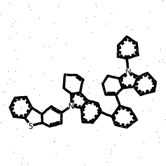 C1=Cc2c(n(C3=CC4c5ccccc5SC4C=C3)c3ccc(-c4ccccc4C4=CCCc5c4c4ccccc4n5-c4ccccc4)cc23)CC1